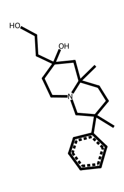 CC1(c2ccccc2)CCC2(C)CC(O)(CCO)CCN2C1